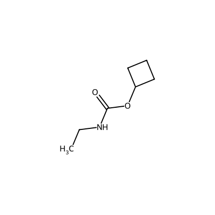 CCNC(=O)OC1CCC1